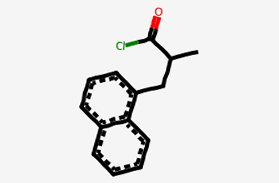 CC(Cc1cccc2ccccc12)C(=O)Cl